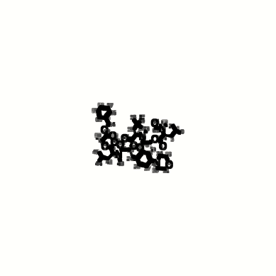 CC(C)C[C@@H](C(=O)O[C@H](C)C(=O)N(C)[C@@H](CC(C)(C)F)C(=O)O[C@H](Cc1ccc(N2CCOCC2)cc1)C(=O)N(C)[C@@H](CC(C)C)C(=O)O[C@H](C)C(=O)OCc1ccccc1)N(C)C=O